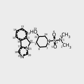 CN(C)S(=O)(=O)N1CC[C@H](C2c3ccccc3-c3cncn32)[C@@H](O)C1